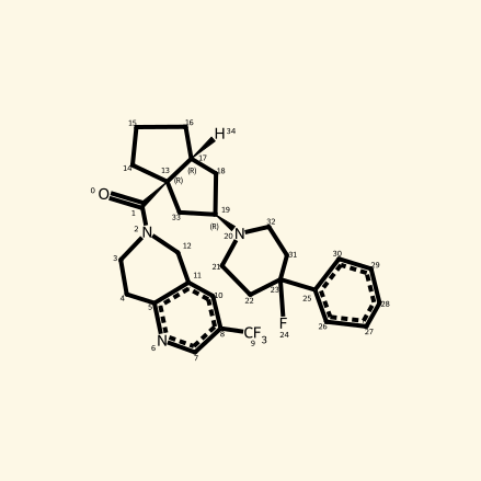 O=C(N1CCc2ncc(C(F)(F)F)cc2C1)[C@@]12CCC[C@@H]1C[C@@H](N1CCC(F)(c3ccccc3)CC1)C2